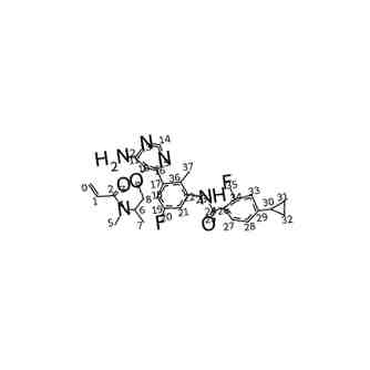 C=CC(=O)N(C)C(C)COc1c(N)ncnc1-c1cc(F)cc(NC(=O)c2ccc(C3CC3)cc2F)c1C